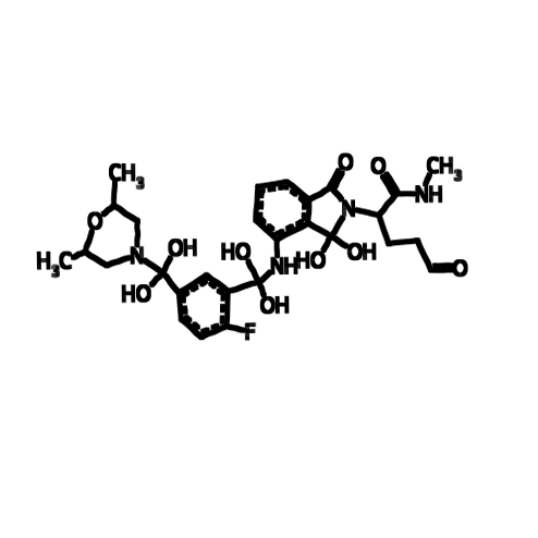 CNC(=O)C(CCC=O)N1C(=O)c2cccc(NC(O)(O)c3cc(C(O)(O)N4CC(C)OC(C)C4)ccc3F)c2C1(O)O